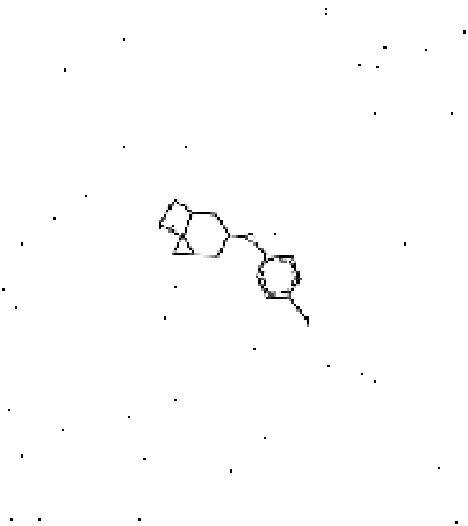 Ic1ccc(OC2CC3CCC34CC4C2)cc1